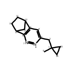 CC1(Cc2cc3c(nn2)C2CCC3C2)CC1